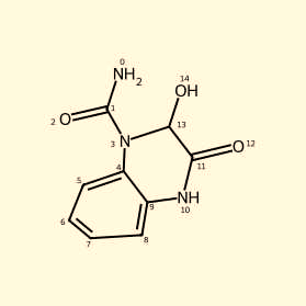 NC(=O)N1c2ccccc2NC(=O)C1O